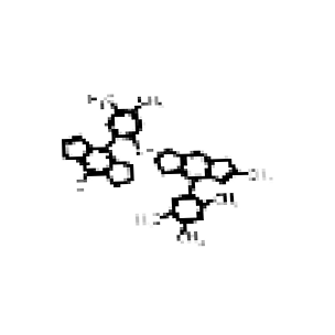 CC1=Cc2c(cc3c(c2-c2cc(C)c(C)cc2C)CCC3)C1.Cc1cc(C)c(-c2c3c(c(C)c4c2CCC4)CC=C3)cc1C